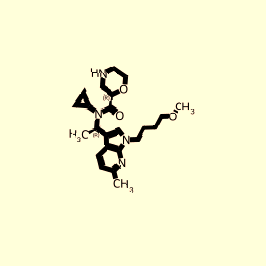 COCCCCn1cc([C@@H](C)N(C(=O)[C@H]2CNCCO2)C2CC2)c2ccc(C)nc21